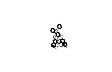 CC1(C)c2c3c(cc4c2C2CCC4CC2)Oc2cc4c(c5c2B3c2c(cc3c(c21)C1CCC3CC1)O5)c1ccccc1n4-c1ccccc1